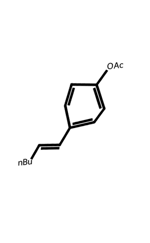 CCCCC=Cc1ccc(OC(C)=O)cc1